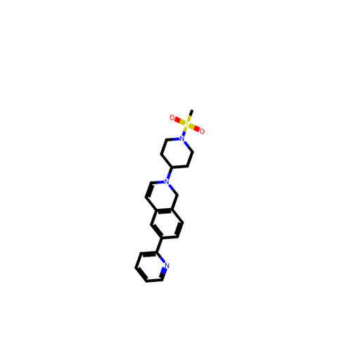 CS(=O)(=O)N1CCC(N2C=Cc3cc(-c4ccccn4)ccc3C2)CC1